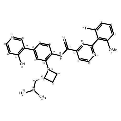 COc1cccc(F)c1-c1nccc(C(=O)Nc2ccc(-c3cnccc3C#N)cc2N2CC[C@@H]2CN(C)C)n1